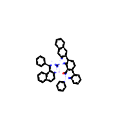 O=c1c2c(ccc3c4cc5ccccc5cc4n(-c4nc(-c5ccccc5)c5c(ccc6ccccc65)n4)c32)c2ccccc2n1-c1ccccc1